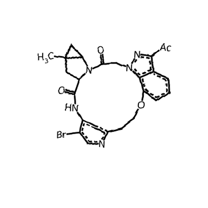 CC(=O)c1nn2c3c(cccc13)OCCc1cc(c(Br)cn1)NC(=O)C1CC3(C)CC3N1C(=O)C2